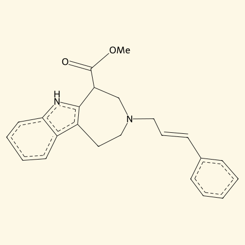 COC(=O)C1CN(CC=Cc2ccccc2)CCc2c1[nH]c1ccccc21